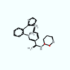 C=C/C=C\C(=C/N(C)c1ccccc1-c1cccs1)C(=C)NC1CN2CCC1CC2